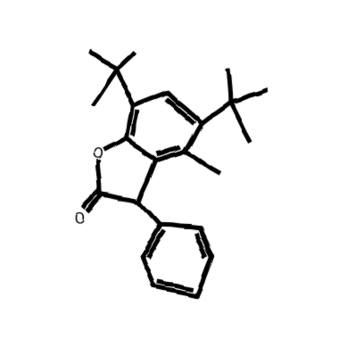 Cc1c(C(C)(C)C)cc(C(C)(C)C)c2c1C(c1ccccc1)C(=O)O2